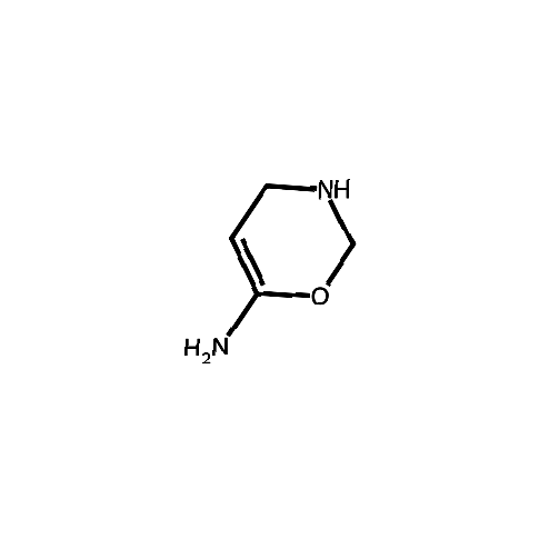 NC1=CCNCO1